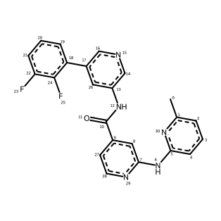 Cc1cccc(Nc2cc(C(=O)Nc3cncc(-c4cccc(F)c4F)c3)ccn2)n1